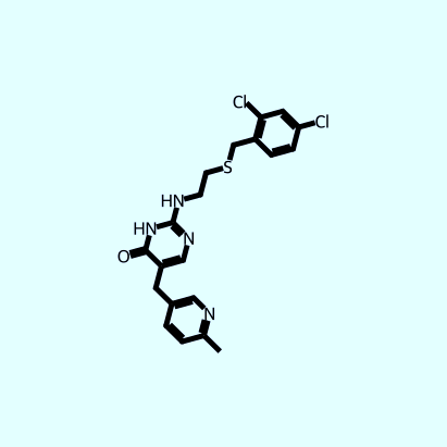 Cc1ccc(Cc2cnc(NCCSCc3ccc(Cl)cc3Cl)[nH]c2=O)cn1